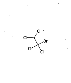 Cl[C](Cl)C(Cl)(Cl)Br